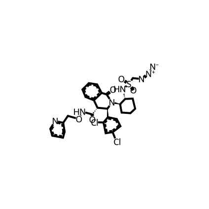 [N-]=[N+]=NCS(=O)(=O)N[C@@H]1CCCC[C@H]1N1C(=O)c2ccccc2[C@@H](C(=O)NOCc2ccccn2)[C@@H]1c1ccc(Cl)cc1Cl